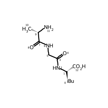 CC[C@H](C)[C@H](NC(=O)CNC(=O)[C@H](C)N)C(=O)O